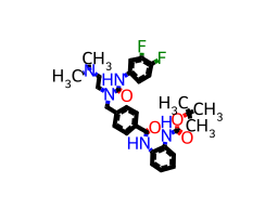 CN(C)CCN(Cc1ccc(C(=O)Nc2ccccc2NC(=O)OC(C)(C)C)cc1)C(=O)Nc1ccc(F)c(F)c1